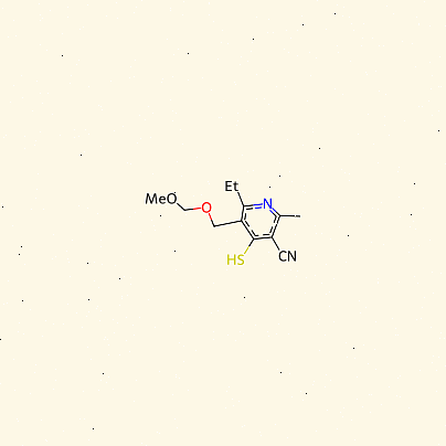 CCc1nc(C)c(C#N)c(S)c1COCOC